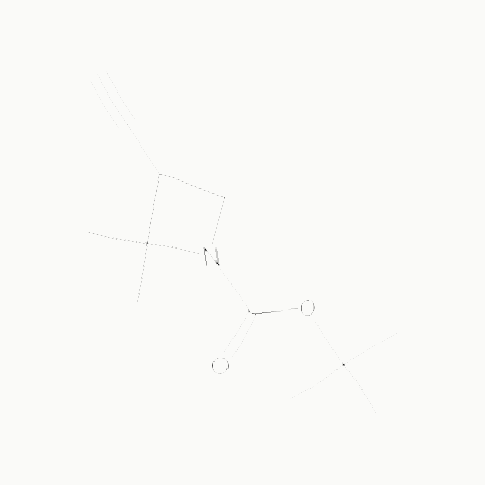 C#CC1CN(C(=O)OC(C)(C)C)C1(C)C